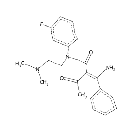 CC(=O)C(C(=O)N(CCN(C)C)c1cccc(F)c1)=C(N)c1ccccc1